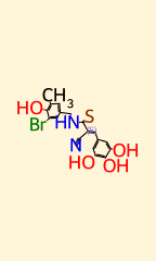 Cc1cc(CNC(=S)/C(C#N)=C/c2cc(O)c(O)c(O)c2)cc(Br)c1O